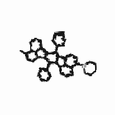 Cc1ccc2c3c(-c4ccccc4)c4c5cccc6c(N7CCCCC7)ccc(c4c(-c4ccccc4)c3c3cccc1c23)c65